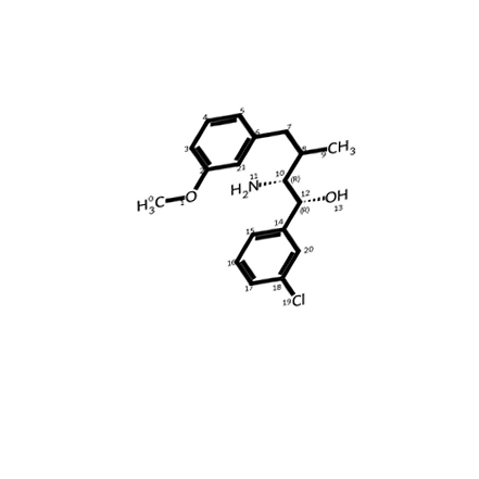 COc1cccc(CC(C)[C@@H](N)[C@H](O)c2cccc(Cl)c2)c1